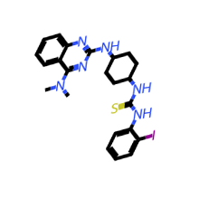 CN(C)c1nc(NC2CCC(NC(=S)Nc3ccccc3I)CC2)nc2ccccc12